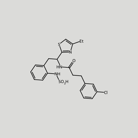 CCc1csc(C(Cc2ccccc2NS(=O)(=O)O)NC(=O)CCc2cccc(Cl)c2)n1